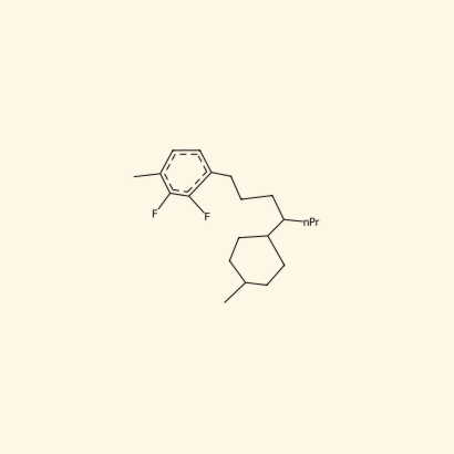 CCCC(CCCc1ccc(C)c(F)c1F)C1CCC(C)CC1